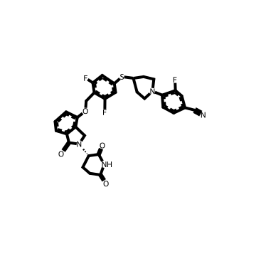 N#Cc1ccc(N2CCC(Sc3cc(F)c(COc4cccc5c4CN([C@H]4CCC(=O)NC4=O)C5=O)c(F)c3)CC2)c(F)c1